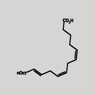 CCCCCCCC/C=C/C/C=C\C/C=C\CCCC(=O)O